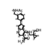 CC(=O)NCc1cccc(-c2cc3c(NCC4(CO)CC4)c(C(N)=O)cnn3c2)c1